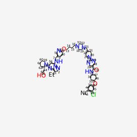 CCc1cnn2c(NCc3ccc(OCCCCN4CCN(CC5CCN(c6ncc(C(=O)N[C@H]7CC[C@H](Oc8ccc(C#N)c(Cl)c8)CC7)cn6)CC5)CC4)nc3)cc(N3CCCC[C@H]3CCO)nc12